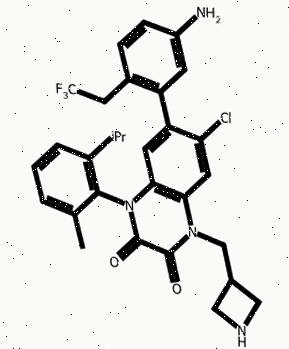 Cc1cccc(C(C)C)c1-n1c(=O)c(=O)n(CC2CNC2)c2cc(Cl)c(-c3cc(N)ccc3CC(F)(F)F)cc21